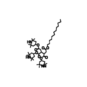 CCCCCCCCCCCCCOC(=O)CC(C(=O)OC1CC(C)(C)NC(C)(C)C1)C(CC(=O)OC1CC(C)(C)NC(C)(C)C1)C(=O)OC1CC(C)(C)NC(C)(C)C1